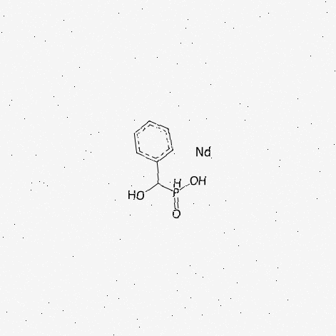 O=[PH](O)C(O)c1ccccc1.[Nd]